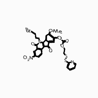 COc1cc2c(cc1OC(=O)OCCSSc1ccccn1)C(=O)c1c-2n(CCCBr)c(=O)c2cc([N+](=O)[O-])ccc12